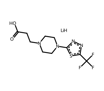 O=C(O)CCN1CCN(c2nnc(C(F)(F)F)s2)CC1.[LiH]